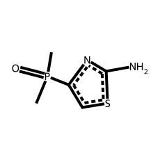 CP(C)(=O)c1csc(N)n1